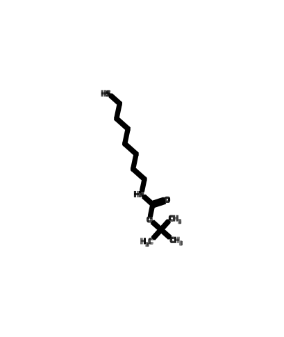 CC(C)(C)OC(=O)NCCCCCCCS